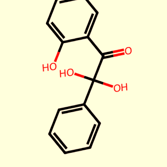 O=C(c1ccccc1O)C(O)(O)c1ccccc1